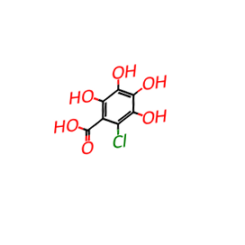 O=C(O)c1c(O)c(O)c(O)c(O)c1Cl